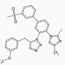 Cc1nc(C(F)(F)F)cn1-c1ccc(-c2cccc(S(C)(=O)=O)c2)cc1-n1nncc1Cc1cccc(OC(F)(F)F)c1